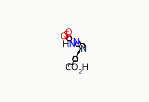 CS(=O)(=O)c1ccc(Nc2cc3c(C#Cc4ccc(CCC(=O)O)cc4)nccc3cn2)cc1